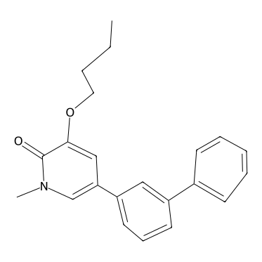 CCCCOc1cc(-c2cccc(-c3ccccc3)c2)cn(C)c1=O